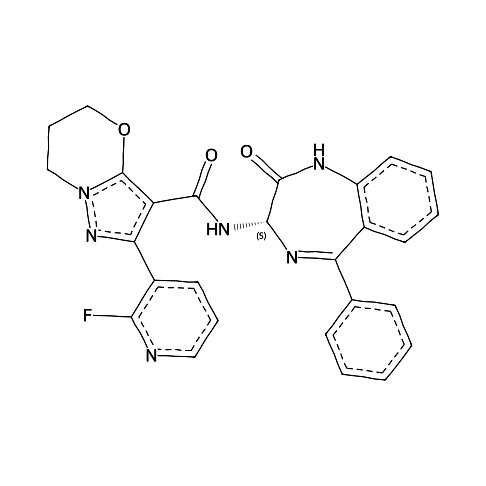 O=C(N[C@H]1N=C(c2ccccc2)c2ccccc2NC1=O)c1c(-c2cccnc2F)nn2c1OCCC2